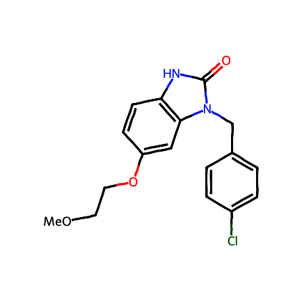 COCCOc1ccc2[nH]c(=O)n(Cc3ccc(Cl)cc3)c2c1